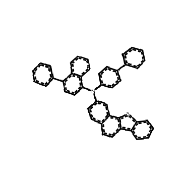 c1ccc(-c2ccc(N(c3ccc4ccc5c6ccccc6sc5c4c3)c3ccc(-c4ccccc4)c4ccccc34)cc2)cc1